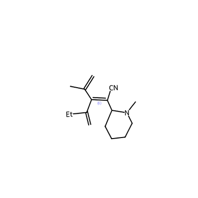 C=C(C)/C(C(=C)CC)=C(\C#N)C1CCCCN1C